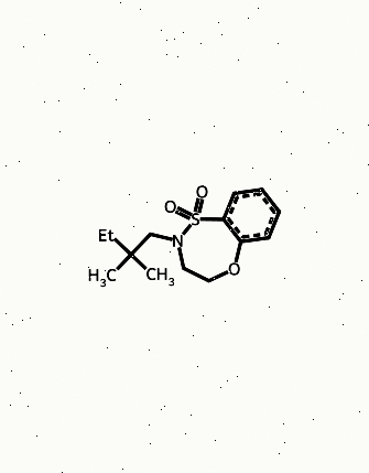 CCC(C)(C)CN1CCOc2ccccc2S1(=O)=O